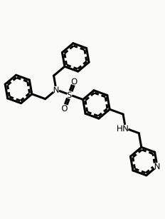 O=S(=O)(c1ccc(CNCc2cccnc2)cc1)N(Cc1ccccc1)Cc1ccccc1